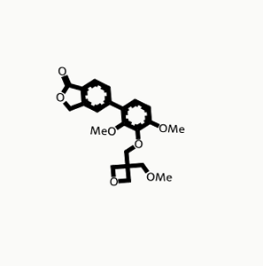 COCC1(COc2c(OC)ccc(-c3ccc4c(c3)COC4=O)c2OC)COC1